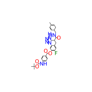 CC1=CCC(CNC(=O)C(Cc2ccc(OC(=O)c3ccc(NC(=O)OC(C)(C)C)cc3)c(F)c2)c2nnn[nH]2)C=C1